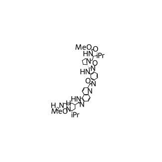 CON[C@H](CC(CCCN)c1nc2ccc3nc(-c4nc5ccc6c(c5o4)NC([C@@H]4CCCN4C(=O)[C@@H](NC(=O)OC)C(C)C)N6C)ccc3c2[nH]1)C(C)C